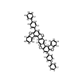 c1ccc(-c2ccc(-c3cc4oc5cc6c(cc5c4c4c3oc3ccccc34)oc3cc(-c4ccc(-c5ccccc5)cc4)c4oc5ccccc5c4c36)cc2)cc1